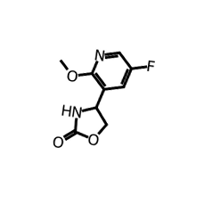 COc1ncc(F)cc1C1COC(=O)N1